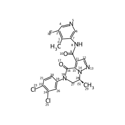 Cc1c(F)cncc1NC(=O)c1cnn2c1C(=O)N(c1ccc(Cl)c(Cl)c1)C[C@@H]2C